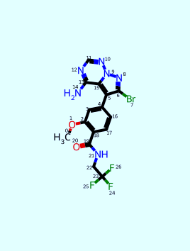 COc1cc(-c2c(Br)nn3ncnc(N)c23)ccc1C(=O)NCC(F)(F)F